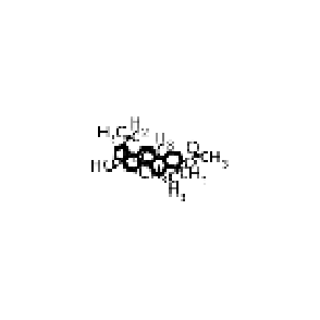 C=C(C)[C@@H]1CC[C@]2(CO)CC[C@]3(C)C(CCC4[C@@]5(C)CC[C@H](OC(C)=O)C(C)(C)C5CC[C@]43C)C12